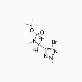 [2H]C([2H])(c1nn(C)nc1Br)N(C)C(=O)OC(C)(C)C